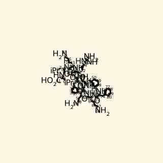 CC(C)C[C@H](NC(=O)[C@H](CC(C)C)NC(=O)[C@H](CCCCN)NC(=O)[C@H](CCCNC(=N)N)NC(=O)[C@H](Cc1ccccc1)NC(=O)[C@H](Cc1ccccc1)NC(=O)[C@H](CCCCN)NC(=O)[C@H](CCCCN)NC(=O)[C@@H](N)Cc1ccccc1)C(=O)O